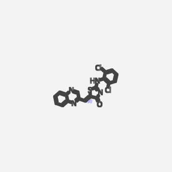 O=C1N=C(Nc2c(Cl)cccc2Cl)S/C1=C\c1cnc2ccccc2n1